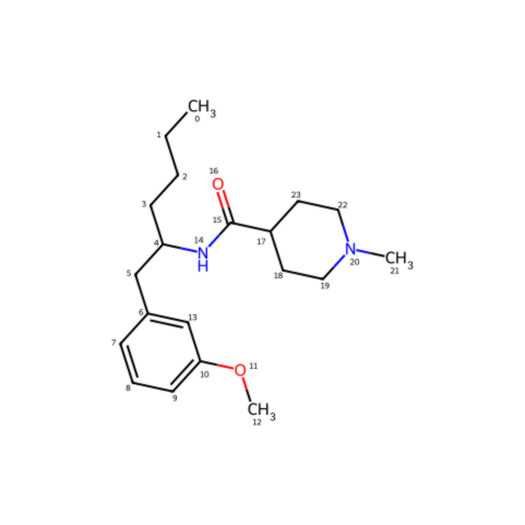 CCCCC(Cc1cccc(OC)c1)NC(=O)C1CCN(C)CC1